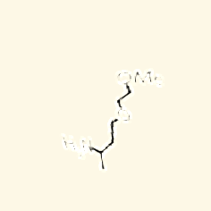 COCCOCCC(C)N